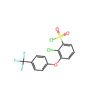 O=S(=O)(Cl)c1cccc(Oc2ccc(C(F)(F)F)cc2)c1Cl